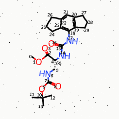 COC(=O)[C@@H](CNC(=O)OC(C)(C)C)NC(=O)Nc1c2c(cc3c1CCC3)CCC2